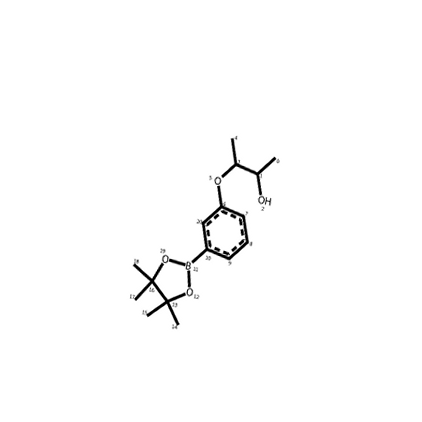 CC(O)C(C)Oc1cccc(B2OC(C)(C)C(C)(C)O2)c1